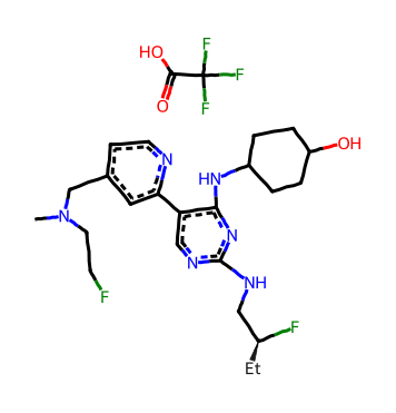 CC[C@H](F)CNc1ncc(-c2cc(CN(C)CCF)ccn2)c(NC2CCC(O)CC2)n1.O=C(O)C(F)(F)F